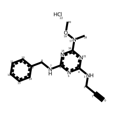 C#CCNc1nc(NCc2ccccc2)nc(N(C)OC)n1.Cl